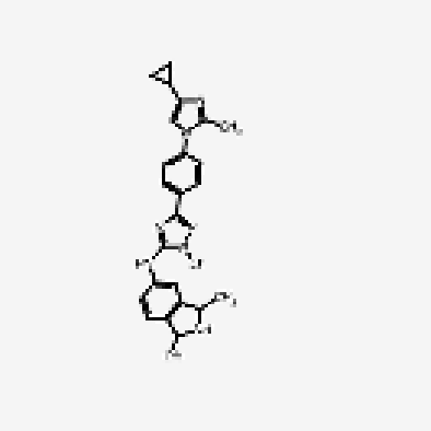 CCn1nc(-c2ccc(-n3cc(C4CC4)nc3C)cc2)nc1Nc1ccc2c(c1)C(C)NC2O